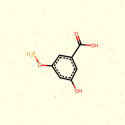 O=C(O)c1cc(O)cc(OP)c1